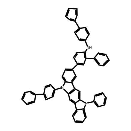 c1ccc(-c2ccc(Nc3ccc(-c4ccc5c(c4)c4cc6c(cc4n5-c4ccc(-c5ccccc5)cc4)c4ccccc4n6-c4ccccc4)cc3-c3ccccc3)cc2)cc1